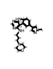 Cn1cc(-c2ccc3[nH]c4ncnc(NCCCN5CCOCC5)c4c3c2)cn1